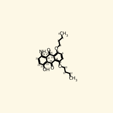 CCCCOc1ccc(OCCCC)c2c1C(=O)c1c(N)ccc(O)c1C2=O